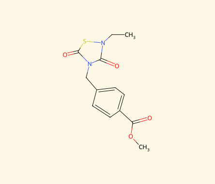 CCn1sc(=O)n(Cc2ccc(C(=O)OC)cc2)c1=O